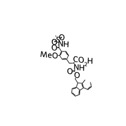 C/C=C\C1=C(C)C(COC(=O)N[C@@H](Cc2ccc(C(=O)NS(C)(=O)=O)c(OC)c2)C(=O)O)c2ccccc21